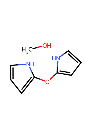 CO.c1c[nH]c(Oc2ccc[nH]2)c1